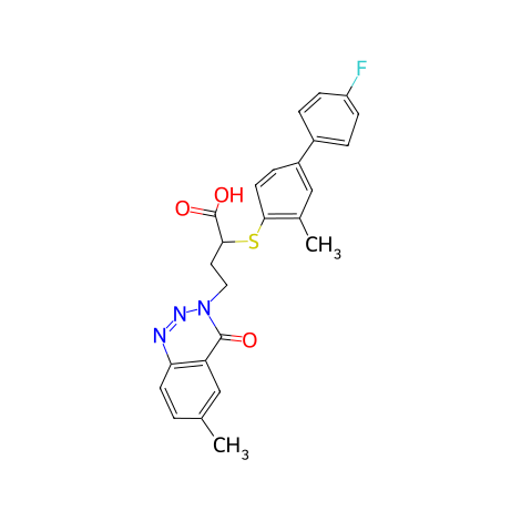 Cc1ccc2nnn(CCC(Sc3ccc(-c4ccc(F)cc4)cc3C)C(=O)O)c(=O)c2c1